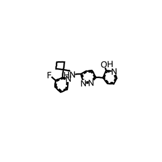 Oc1ncccc1-c1ccc(NCC2(c3ncccc3F)CCC2)nn1